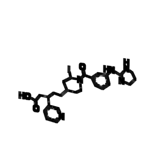 O=C(O)CC(CCC1CCN(C(=O)c2cccc(NC3=NCCCN3)c2)C(I)C1)c1cccnc1